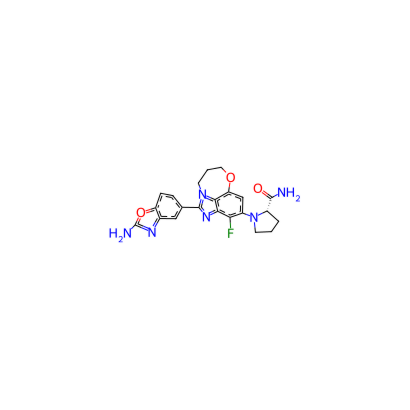 NC(=O)[C@@H]1CCCN1c1cc2c3c(nc(-c4ccc5oc(N)nc5c4)n3CCCO2)c1F